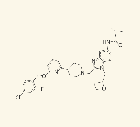 CC(C)C(=O)Nc1ccc2c(c1)nc(CN1CCC(c3cccc(OCc4ccc(Cl)cc4F)n3)CC1)n2CC1CCO1